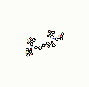 c1ccc2c(c1)Sc1ccccc1C21c2ccccc2-c2cc(N(c3ccc(-c4ccc5sc6cc(-c7ccc8c(c7)C7(c9ccccc9Sc9ccccc97)c7ccc(N(c9ccc(-c%10cccc%11c%10oc%10ccccc%10%11)cc9)c9ccc%10c(c9)-c9ccccc9C%109c%10ccccc%10Sc%10ccccc%109)cc7-8)ccc6c5c4)cc3)c3ccc4c(c3)-c3ccccc3C43c4ccccc4Sc4ccccc43)ccc21